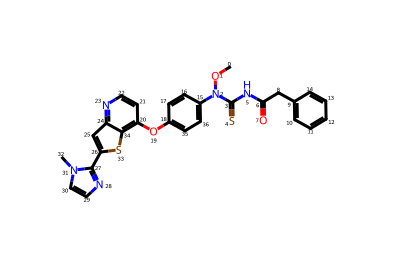 CON(C(=S)NC(=O)Cc1ccccc1)c1ccc(Oc2ccnc3cc(-c4nccn4C)sc23)cc1